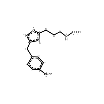 CCCCCCCCCc1ccc(Cc2noc(CCCNC(=O)O)n2)cc1